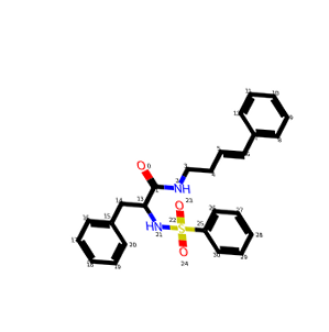 O=C(NCCC=Cc1ccccc1)C(Cc1cc[c]cc1)NS(=O)(=O)c1ccccc1